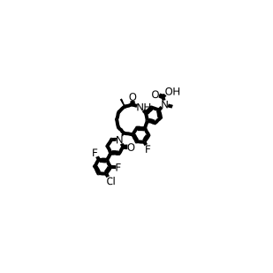 C[C@@H]1CCC[C@H](N2CCC(c3c(F)ccc(Cl)c3F)=CC2=O)c2cc(F)cc(c2)-c2ccc(N(C)C(=O)O)cc2NC1=O